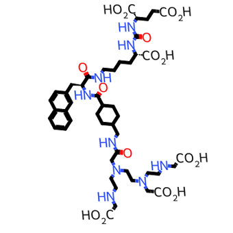 O=C(O)CC[C@H](NC(=O)N[C@@H](CCCCNC(=O)[C@H](Cc1ccc2ccccc2c1)NC(=O)C1CCC(CNC(=O)CN(CCNCC(=O)O)CCN(CCNCC(=O)O)CC(=O)O)CC1)C(=O)O)C(=O)O